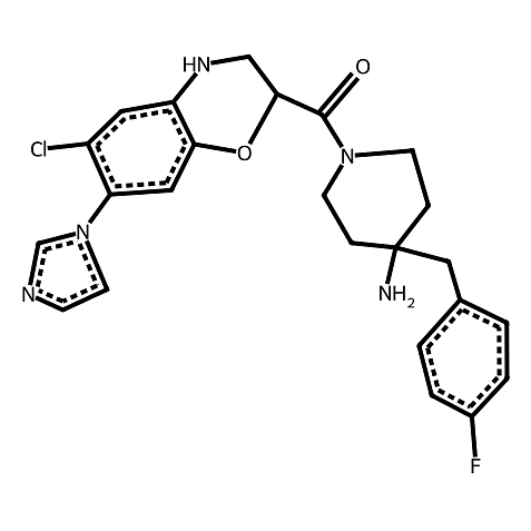 NC1(Cc2ccc(F)cc2)CCN(C(=O)C2CNc3cc(Cl)c(-n4ccnc4)cc3O2)CC1